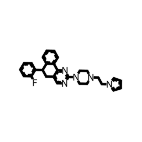 Fc1ccccc1C1Cc2cnc(N3CCN(CCn4cccc4)CC3)nc2-c2ccccc21